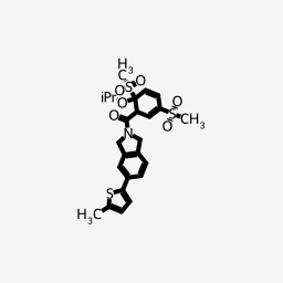 Cc1ccc(-c2ccc3c(c2)CN(C(=O)C2C=C(S(C)(=O)=O)C=CC2(OC(C)C)S(C)(=O)=O)C3)s1